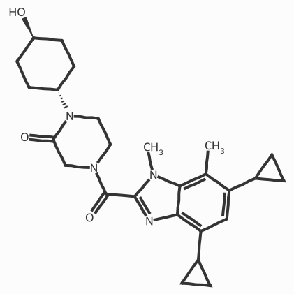 Cc1c(C2CC2)cc(C2CC2)c2nc(C(=O)N3CCN([C@H]4CC[C@H](O)CC4)C(=O)C3)n(C)c12